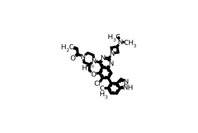 C=CC(=O)N1CCN2c3nc(N4CC(N(C)C)C4)nc4cc(-c5c(C)ccc6[nH]ncc56)c(Cl)c(c34)OC[C@@H]2C1